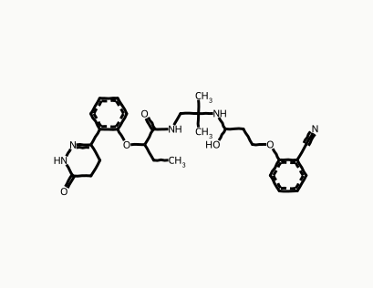 CCC(Oc1ccccc1C1=NNC(=O)CC1)C(=O)NCC(C)(C)NC(O)CCOc1ccccc1C#N